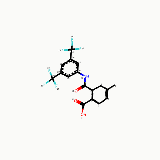 CC1=CCC(C(=O)O)C(C(=O)Nc2cc(C(F)(F)F)cc(C(F)(F)F)c2)C1